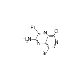 CCc1nc2c(Cl)ncc(Br)c2nc1N